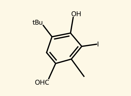 Cc1c(C=O)cc(C(C)(C)C)c(O)c1I